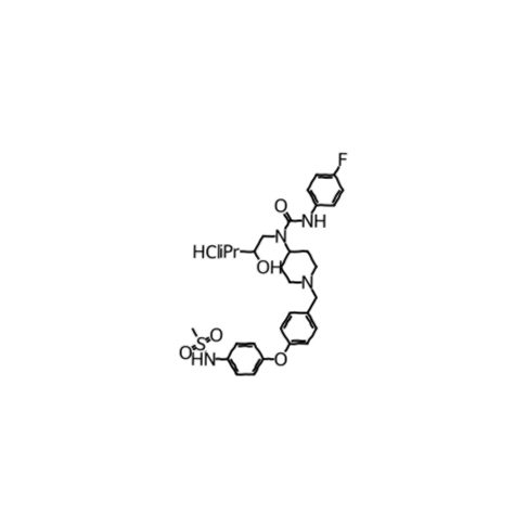 CC(C)C(O)CN(C(=O)Nc1ccc(F)cc1)C1CCN(Cc2ccc(Oc3ccc(NS(C)(=O)=O)cc3)cc2)CC1.Cl